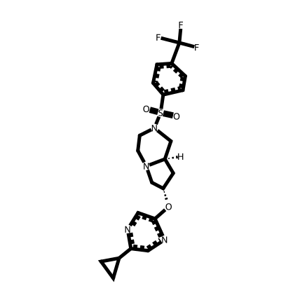 O=S(=O)(c1ccc(C(F)(F)F)cc1)N1CCN2C[C@@H](Oc3cnc(C4CC4)cn3)C[C@@H]2C1